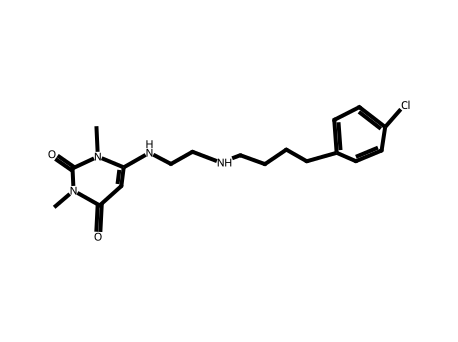 Cn1c(NCCNCCCCc2ccc(Cl)cc2)cc(=O)n(C)c1=O